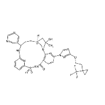 CC1(C)C[C@@H]2CCC(c3cncnc3)Nc3cccc(n3)S(=O)(=O)NC(=O)c3ccc(-n4ccc(OCCC5(C(F)(F)F)CC5)n4)nc3N1C2